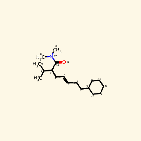 CC(C)C(C/C=C/CCC1CCCCC1)C(=O)N(C)C